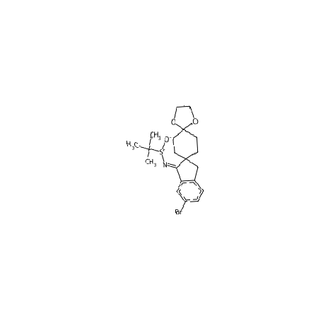 CC(C)(C)[S+]([O-])/N=C1/c2cc(Br)ccc2CC12CCC1(CC2)OCCO1